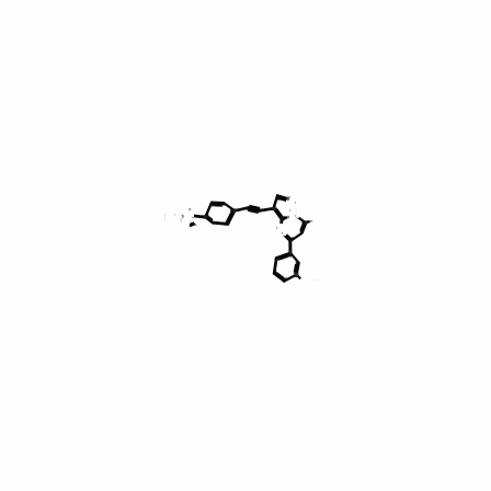 NS(=O)(=O)c1ccc(C#Cc2cnn3c(C(F)(F)F)cc(-c4cccc(C(F)(F)F)c4)nc23)cc1